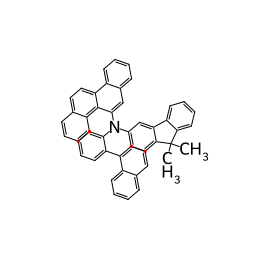 CC1(C)c2ccccc2-c2cc(N(c3ccccc3-c3cccc4ccccc34)c3cc4ccccc4c4ccc5ccccc5c34)ccc21